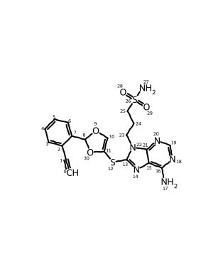 C#Cc1ccccc1C1OC=C(Sc2nc3c(N)ncnc3n2CCCS(N)(=O)=O)O1